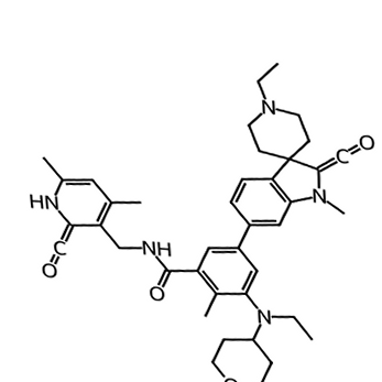 CCN1CCC2(CC1)C(=C=O)N(C)c1cc(-c3cc(C(=O)NCC4=C(C)C=C(C)NC4=C=O)c(C)c(N(CC)C4CCOCC4)c3)ccc12